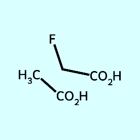 CC(=O)O.O=C(O)CF